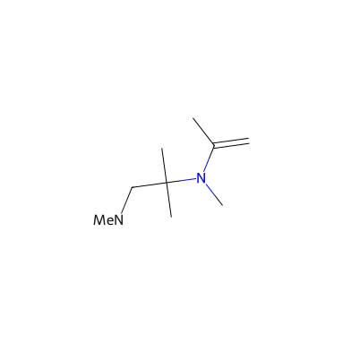 C=C(C)N(C)C(C)(C)CNC